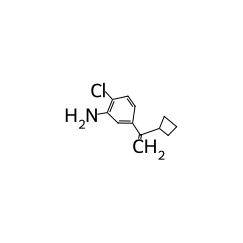 C=C(c1ccc(Cl)c(N)c1)C1CCC1